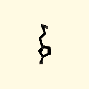 CCn1cc[n+](CCNC)c1